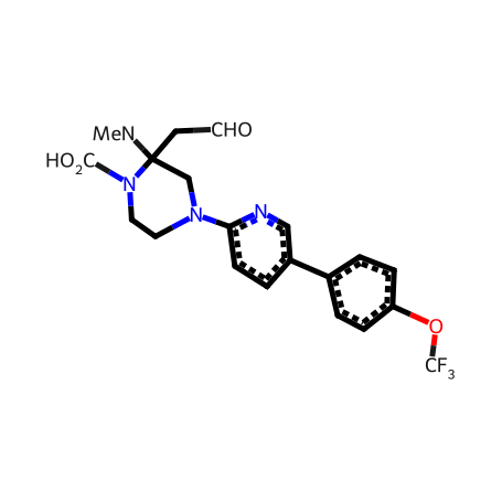 CNC1(CC=O)CN(c2ccc(-c3ccc(OC(F)(F)F)cc3)cn2)CCN1C(=O)O